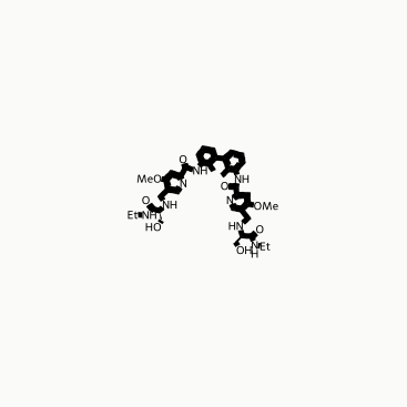 CCNC(=O)[C@@H](CO)NCc1cnc(C(=O)Nc2cccc(-c3cccc(NC(=O)c4cc(OC)c(CN[C@H](CO)C(=O)NCC)cn4)c3C)c2C)cc1OC